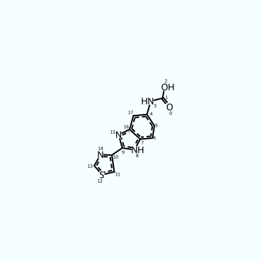 O=C(O)Nc1ccc2[nH]c(-c3cscn3)nc2c1